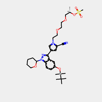 C[C@@H](COCCOCCn1cc(-c2nn(C3CCCCO3)c3ccc(O[Si](C)(C)C(C)(C)C)cc23)cc1C#N)OS(C)(=O)=O